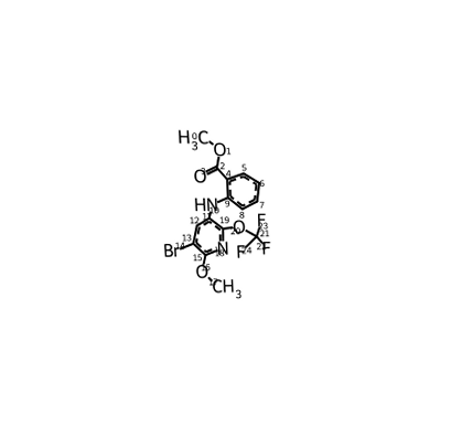 COC(=O)c1ccccc1Nc1cc(Br)c(OC)nc1OC(F)(F)F